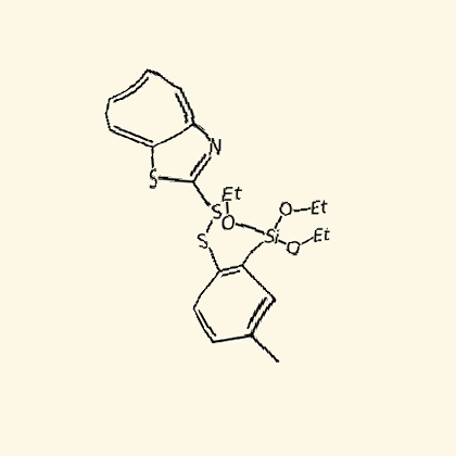 CCO[Si](OCC)(OCC)c1cc(C)ccc1SSc1nc2ccccc2s1